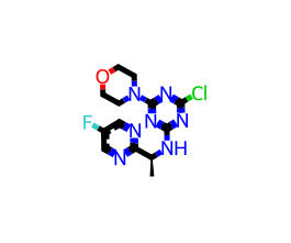 C[C@H](Nc1nc(Cl)nc(N2CCOCC2)n1)c1ncc(F)cn1